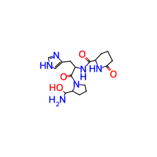 NC(O)C1CCCN1C(=O)C(Cc1c[nH]cn1)NC(=O)C1CCCC(=O)N1